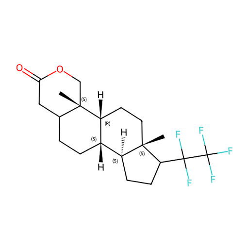 C[C@]12COC(=O)CC1CC[C@@H]1[C@H]2CC[C@]2(C)C(C(F)(F)C(F)(F)F)CC[C@@H]12